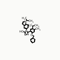 Cc1cc(OCc2ccccc2)c(-c2nnc(O)n2-c2ccc3c(ccn3C(C)C)c2)cc1C(C)C